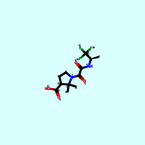 C[C@@H](NC(=O)C(=O)N1CCC(C(=O)O)C1(C)C)C(F)(F)F